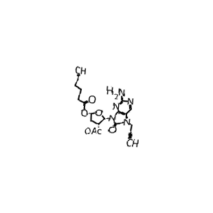 C#CCCCC(=O)O[C@H]1C[C@@H](OC(C)=O)[C@H](n2c(=O)n(CC#C)c3cnc(N)nc32)O1